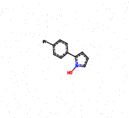 CC(C)c1ccc(-c2cccn2O)cc1